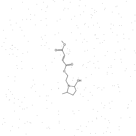 COC(=O)/C=C/C(=O)OCCN1C(C)CCC1O